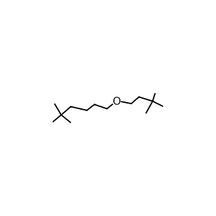 CC(C)(C)CCCCOCCC(C)(C)C